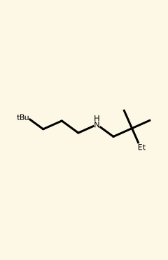 CCC(C)(C)CNCCCC(C)(C)C